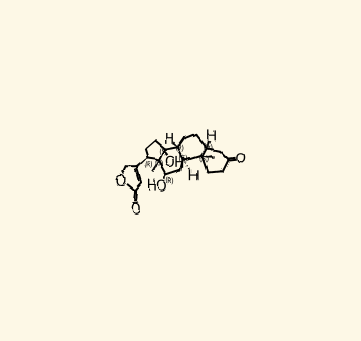 C[C@]12CCC(=O)C[C@H]1CC[C@@H]1[C@@H]2C[C@@H](O)[C@]2(C)[C@@H](C3=CC(=O)OC3)CC[C@]12O